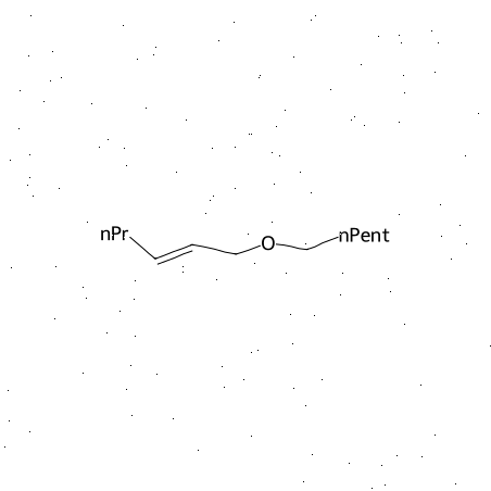 [CH2]CCCCCOCC=CCCC